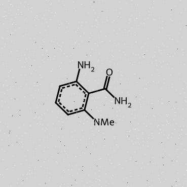 CNc1cccc(N)c1C(N)=O